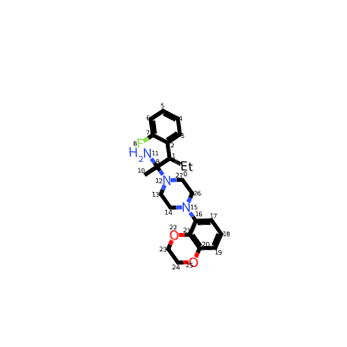 CCC(c1ccccc1F)C(C)(N)N1CCN(c2cccc3c2OCCO3)CC1